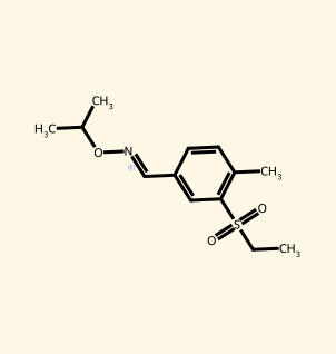 CCS(=O)(=O)c1cc(/C=N/OC(C)C)ccc1C